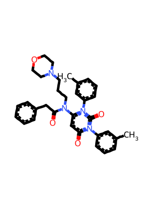 Cc1cccc(-n2c(N(CCCN3CCOCC3)C(=O)Cc3ccccc3)cc(=O)n(-c3cccc(C)c3)c2=O)c1